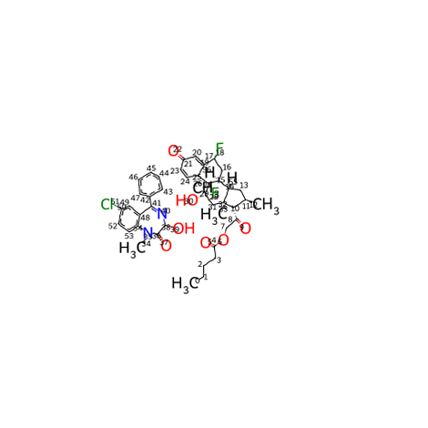 CCCCC(=O)OCC(=O)[C@H]1[C@H](C)C[C@H]2[C@@H]3C[C@H](F)C4=CC(=O)C=C[C@]4(C)[C@@]3(F)[C@@H](O)C[C@@]21C.CN1C(=O)C(O)N=C(c2ccccc2)c2cc(Cl)ccc21